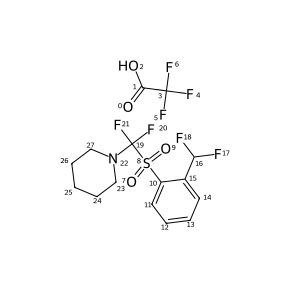 O=C(O)C(F)(F)F.O=S(=O)(c1ccccc1C(F)F)C(F)(F)N1CCCCC1